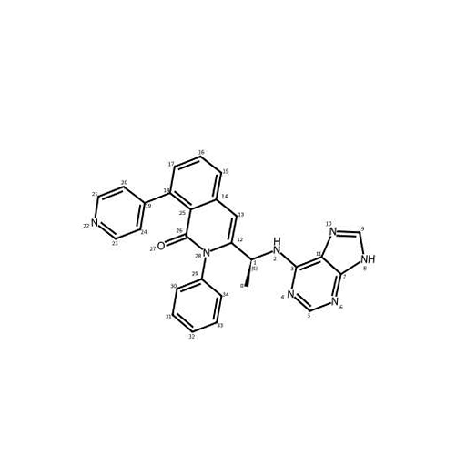 C[C@H](Nc1ncnc2[nH]cnc12)c1cc2cccc(-c3ccncc3)c2c(=O)n1-c1ccccc1